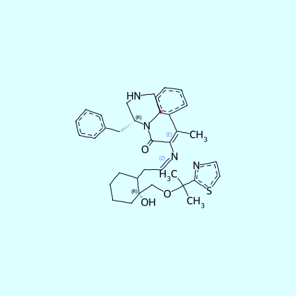 C/C(=C(\N=C/CC1CCCC[C@]1(O)COC(C)(C)c1nccs1)C(=O)N1CCNC[C@H]1Cc1ccccc1)c1ccccc1